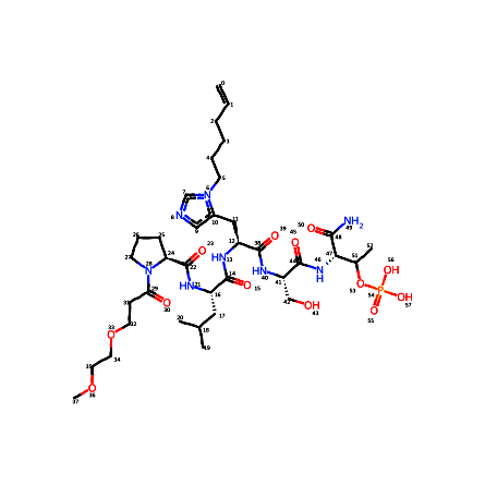 C=CCCCCn1cncc1C[C@H](NC(=O)[C@H](CC(C)C)NC(=O)[C@@H]1CCCN1C(=O)CCOCCOC)C(=O)N[C@@H](CO)C(=O)N[C@H](C(N)=O)C(C)OP(=O)(O)O